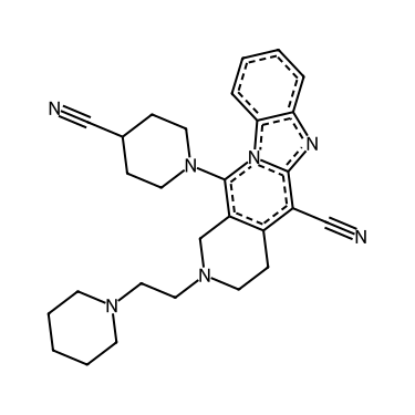 N#Cc1c2c(c(N3CCC(C#N)CC3)n3c1nc1ccccc13)CN(CCN1CCCCC1)CC2